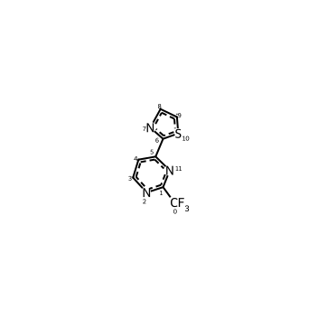 FC(F)(F)c1nccc(-c2nc[c]s2)n1